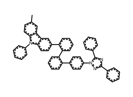 Cc1ccc2c(c1)c1cc(-c3ccccc3-c3ccccc3-c3ccc(-n4nc(-c5ccccc5)nc4-c4ccccc4)cc3)ccc1n2-c1ccccc1